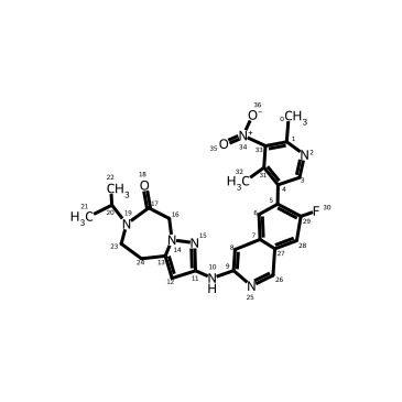 Cc1ncc(-c2cc3cc(Nc4cc5n(n4)CC(=O)N(C(C)C)CC5)ncc3cc2F)c(C)c1[N+](=O)[O-]